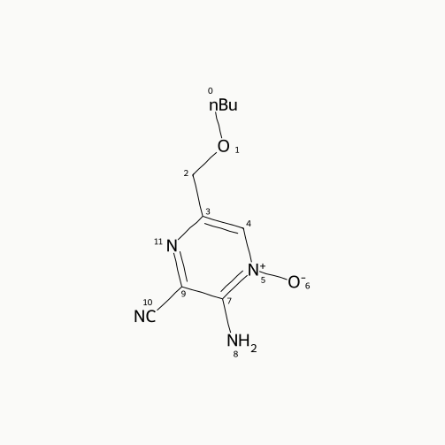 CCCCOCc1c[n+]([O-])c(N)c(C#N)n1